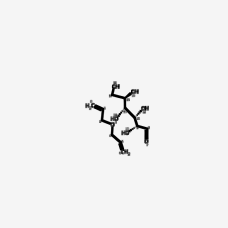 C=CCOCC=C.O=C[C@H](O)[C@@H](O)[C@H](O)[C@H](O)CO